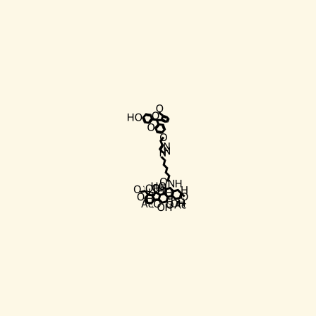 CC(=O)O[C@H]1[C@H]2[C@@H]([C@@H](O)[C@@H](NC(=O)CCCCCCn3cc(COc4ccc5c(c4)Oc4cc(O)ccc4C54OC(=O)c5ccccc54)nn3)C3C[C@@H]4O[C@@H]4[C@H](O)[C@@]32C)[C@@H]2[C@@H](O)[C@@H]3[C@H]([C@H](C)C=C4OC(=O)[C@@](C)(O)[C@@]43C)[C@@]2(OC(C)=O)[C@H]1O